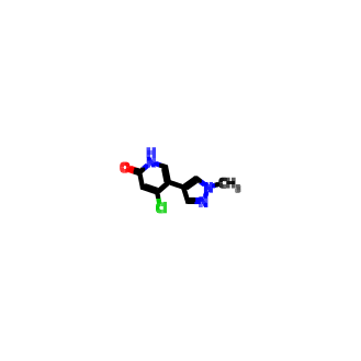 Cn1cc(-c2c[nH]c(=O)cc2Cl)cn1